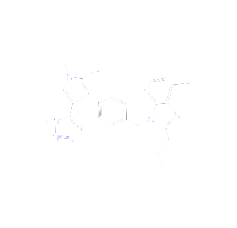 CCCc1nc2c(C)ccnc2n1Cc1ccc(-c2c(-c3nnn[nH]3)cn(C)c2Br)cc1